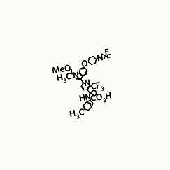 COC[C@@H](C)n1cc(-c2ccc(C(=O)NC3(C(=O)O)CC4CC(C)CC3C4)c(C(F)(F)F)n2)c2ccc(O[C@H]3CC[C@H](N4CC(F)(F)C4)CC3)cc21